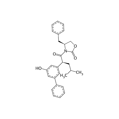 CC(C)C[C@H](C(=O)N1C(=O)OC[C@@H]1Cc1ccccc1)c1cc(O)cc(-c2ccccc2)c1